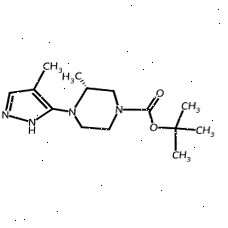 Cc1cn[nH]c1N1CCN(C(=O)OC(C)(C)C)C[C@H]1C